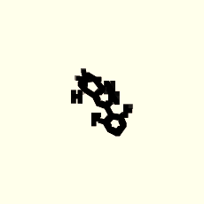 CC1(C)[C]2CC[C@@H]1c1cc(-c3c(F)cccc3F)nnc12